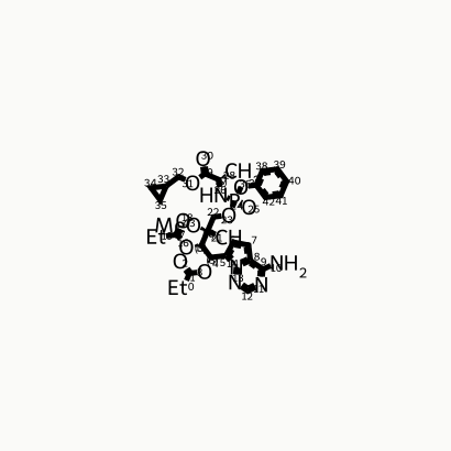 CCC(=O)O[C@@H](c1ccc2c(N)ncnn12)[C@H](OC(=O)CC)[C@@](C)(COP(=O)(N[C@@H](C)C(=O)OCC1CC1)Oc1ccccc1)OC